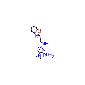 CN(C)c1cnc(NCCc2nc3c(o2)=CCCC=3)nc1N